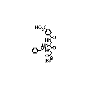 CC(C)(C)OC(=O)CNC(=O)[C@H](CNC(=O)c1ccc(C(=O)O)cc1)NC(=O)OCc1ccccc1